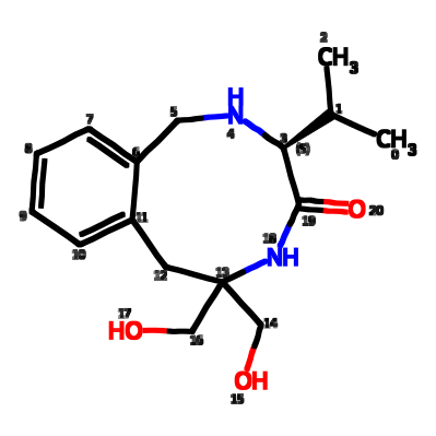 CC(C)[C@@H]1NCc2ccccc2CC(CO)(CO)NC1=O